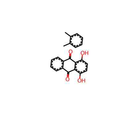 Cc1ccccc1C.O=C1c2ccccc2C(=O)c2c(O)ccc(O)c21